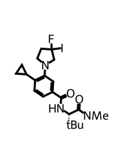 CNC(=O)[C@@H](NC(=O)c1ccc(C2CC2)c(N2CCC(F)(I)C2)c1)C(C)(C)C